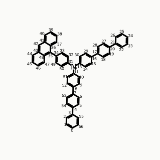 c1ccc(-c2ccc(-c3ccc(N(c4ccc(-c5ccc(-c6ccccc6)cc5)cc4)c4ccc(-c5c6ccccc6cc6ccccc56)cc4)cc3)cc2)cc1